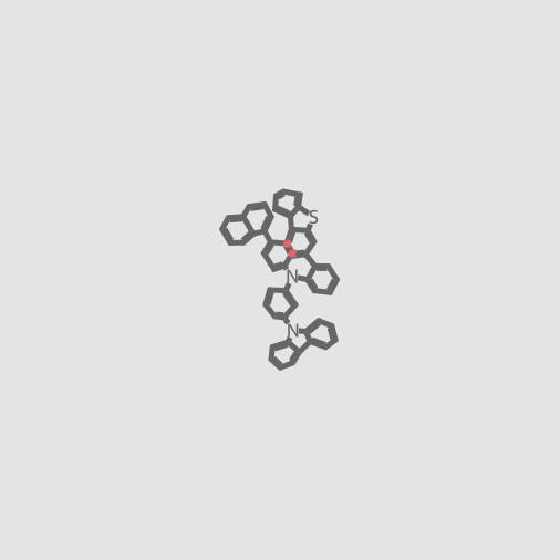 c1cc(N(c2ccc(-c3cccc4ccccc34)cc2)c2ccccc2-c2ccc3c(c2)sc2ccccc23)cc(-n2c3ccccc3c3ccccc32)c1